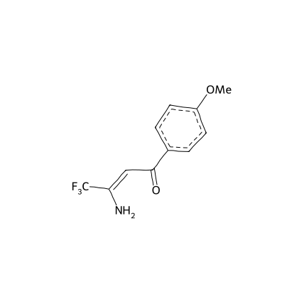 COc1ccc(C(=O)/C=C(\N)C(F)(F)F)cc1